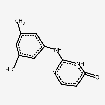 Cc1cc(C)cc(Nc2nccc(=O)[nH]2)c1